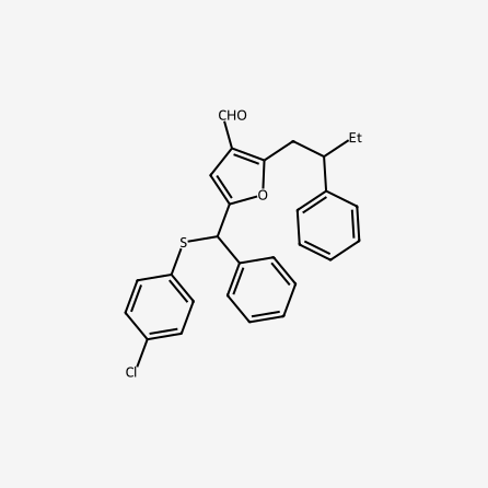 CCC(Cc1oc(C(Sc2ccc(Cl)cc2)c2ccccc2)cc1C=O)c1ccccc1